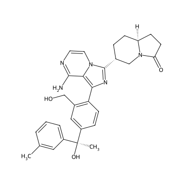 Cc1cccc([C@](C)(O)c2ccc(-c3nc([C@@H]4CC[C@H]5CCC(=O)N5C4)n4ccnc(N)c34)c(CO)c2)c1